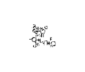 Cc1cc([C@@H](C)Nc2ccc(Cl)nc2C(=O)NS(C)(=O)=O)c2nc(N3CCN(c4ncccc4F)CC3)n(C)c(=O)c2c1